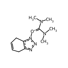 CN(C)C(=[O+]n1nnc2c1CC=CC2)N(C)C